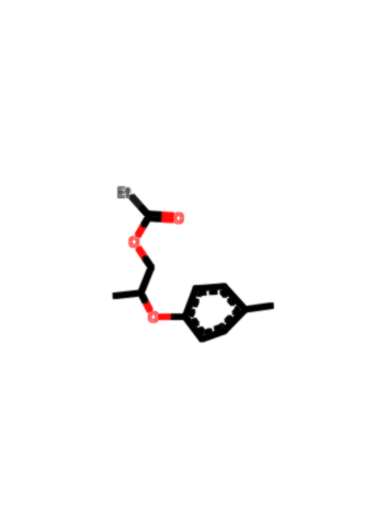 CCC(=O)OCC(C)Oc1ccc(C)cc1